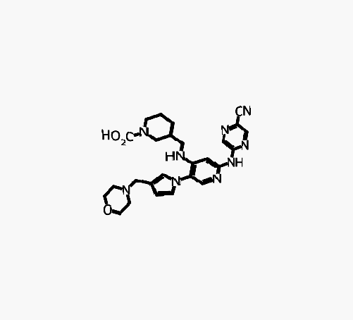 N#Cc1cnc(Nc2cc(NCC3CCCN(C(=O)O)C3)c(-n3ccc(CN4CCOCC4)c3)cn2)cn1